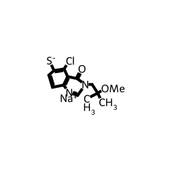 COC(C)(C)Cn1cnc2ccc([S-])c(Cl)c2c1=O.[Na+]